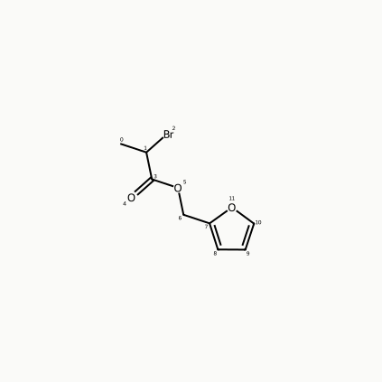 CC(Br)C(=O)OCc1ccco1